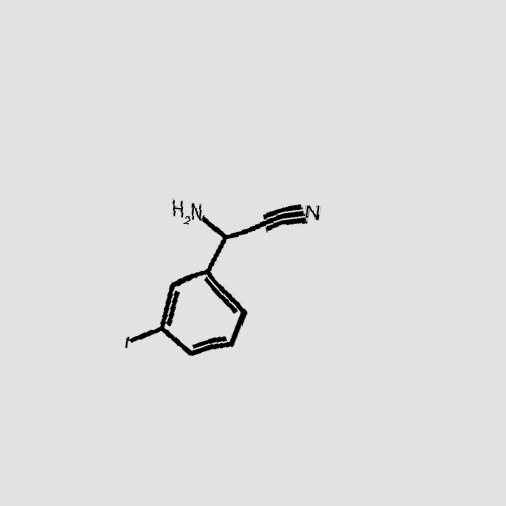 N#CC(N)c1cccc(I)c1